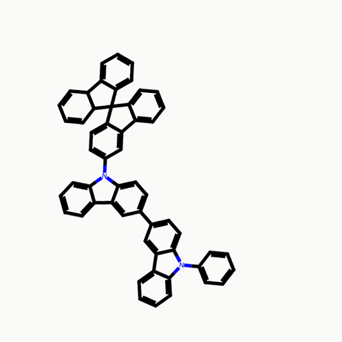 C1=CC2c3ccccc3C3(c4ccccc4-c4cc(-n5c6ccccc6c6cc(-c7ccc8c(c7)c7ccccc7n8-c7ccccc7)ccc65)ccc43)C2C=C1